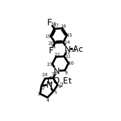 CCOC(=O)N1C2CCC1CC(N1CCC(N(C(C)=O)c3ccc(F)cc3F)CC1)C2